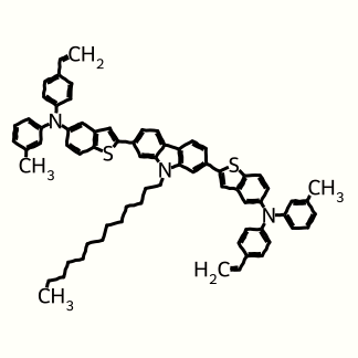 C=Cc1ccc(N(c2cccc(C)c2)c2ccc3sc(-c4ccc5c6ccc(-c7cc8cc(N(c9ccc(C=C)cc9)c9cccc(C)c9)ccc8s7)cc6n(CCCCCCCCCCCCC)c5c4)cc3c2)cc1